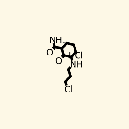 Cl.NC(=O)C1CCCC(NCCCCl)C1=O